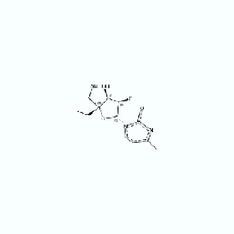 CC[C@]1(CO)O[C@@H](n2ccc(C)nc2=O)[C@H](F)[C@@H]1O